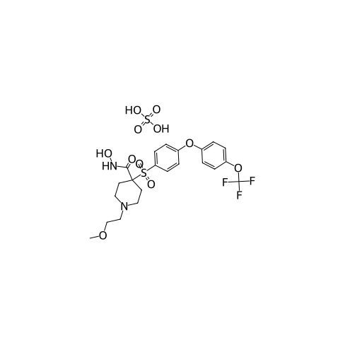 COCCN1CCC(C(=O)NO)(S(=O)(=O)c2ccc(Oc3ccc(OC(F)(F)F)cc3)cc2)CC1.O=S(=O)(O)O